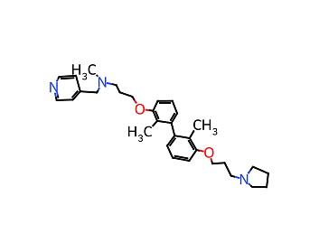 Cc1c(OCCCN(C)Cc2ccncc2)cccc1-c1cccc(OCCCN2CCCC2)c1C